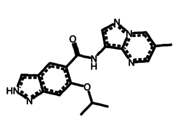 Cc1cnc2c(NC(=O)c3cc4c[nH]nc4cc3OC(C)C)cnn2c1